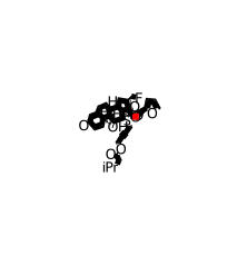 CC(C)CC(=O)OCC#CCSC(=O)[C@@]1(OC(=O)c2ccco2)[C@H](CF)C[C@H]2[C@@H]3CCC4=CC(=O)C=C[C@]4(C)[C@@]3(F)[C@@H](O)C[C@@]21C